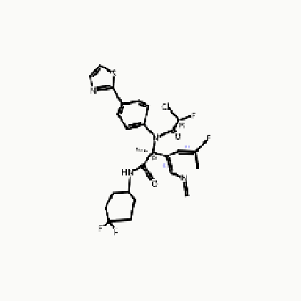 C=N/C=C(\C=C(/C)F)[C@@](C)(C(=O)NC1CCC(F)(F)CC1)N(C(=O)[C@H](F)Cl)c1ccc(-c2nccs2)cc1